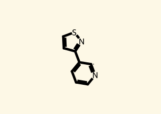 [c]1ncccc1-c1ccsn1